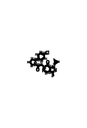 Cc1nn(C2CC2)c2c(=O)n(CC(=O)N3CCCC3c3ccc(Cl)cc3)ncc12